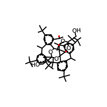 CC1c2cc(C(C)(C)C)cc(C(C)(C)C)c2C2OC(C(C)(C)CO)(OC3(c4c(cc(C(C)(C)C)cc4C(C)(C)C)C(C)c4cc(C(C)(C)C)cc(C(C)(C)C)c43)C23COC(C(C)(C)CO)OC3)c2c1cc(C(C)(C)C)cc2C(C)(C)C